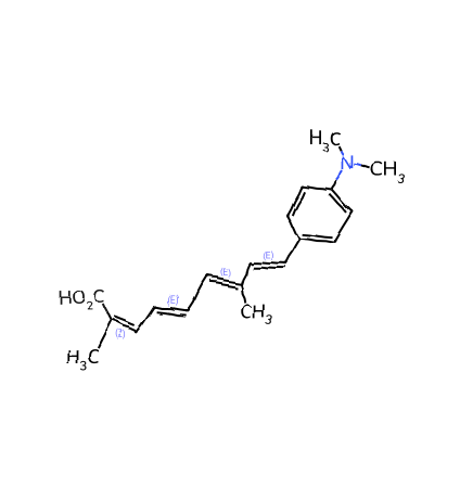 C/C(=C/C=C/C=C(C)/C=C/c1ccc(N(C)C)cc1)C(=O)O